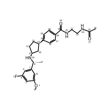 COc1cc(F)cc([C@@H](C)N[C@H]2CC[C@@H](c3ccc(C(=O)NCCNC(C)=O)cc3)C2)c1